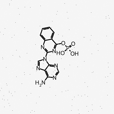 Nc1ncnc2c1ncn2-c1nc(OP(=O)(O)O)c2ccccc2n1